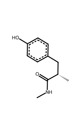 CNC(=O)[C@@H](C)Cc1ccc(O)cc1